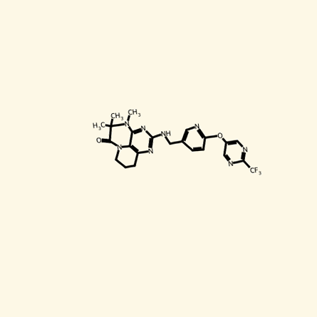 CN1c2nc(NCc3ccc(Oc4cnc(C(F)(F)F)nc4)nc3)nc3c2N(CCC3)C(=O)C1(C)C